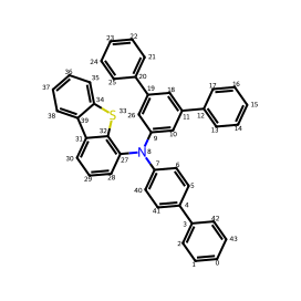 c1ccc(-c2ccc(N(c3cc(-c4ccccc4)cc(-c4ccccc4)c3)c3cccc4c3sc3ccccc34)cc2)cc1